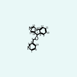 c1cncc(COC2c3ccccc3-n3cncc32)c1